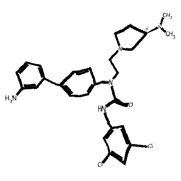 CN(C)[C@@H]1CCN(CCN(C(=O)Nc2cc(Cl)cc(Cl)c2)c2ccc(-c3cccc(N)c3)cc2)C1